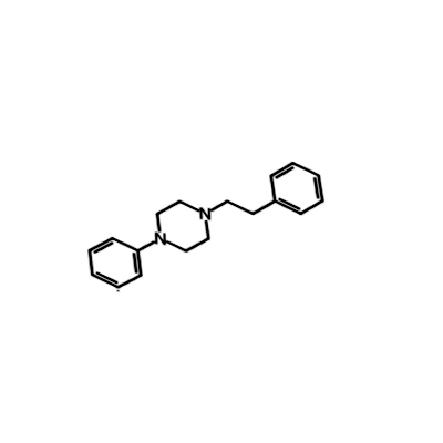 [c]1cccc(N2CCN(CCc3ccccc3)CC2)c1